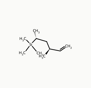 C=C[C@@H](C)C[C@@H](C)[Si](C)(C)C